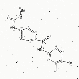 Cc1cc(NC(=O)c2ccc(NC(=O)OC(C)(C)C)cc2)ccc1Br